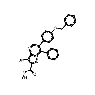 COC(=O)c1nn2c(-c3ccccc3)c(-c3ccc(OCc4ccccc4)cc3)cnc2c1Br